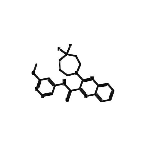 COc1cc(NC(=O)c2nc3ccccc3nc2N2CCCC(F)(F)CC2)cnn1